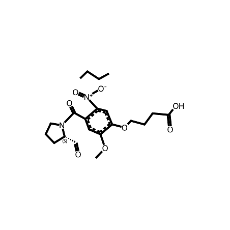 CCCC.COc1cc(C(=O)N2CCC[C@H]2C=O)c([N+](=O)[O-])cc1OCCCC(=O)O